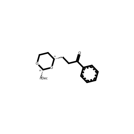 CCCCCCCCCC[C@@H]1OCC[C@H](CCC(=O)c2ccccc2)O1